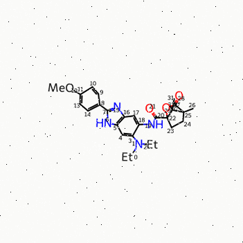 CCN(CC)c1cc2[nH]c(-c3ccc(OC)cc3)nc2cc1NC(=O)C12CCC(C)(C(=O)O1)C2(C)C